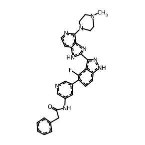 CN1CCN(c2nccc3[nH]c(-c4n[nH]c5ccc(-c6cncc(NC(=O)Cc7ccccc7)c6)c(F)c45)nc23)CC1